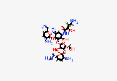 NC[C@@H]1CC[C@@H](N)[C@@H](O[C@H]2[C@H](O[C@@H]3O[C@H](CO)[C@@H](O[C@H]4O[C@@H](CN)C=C[C@H]4N)[C@H]3O)[C@@H](O)[C@H](NC(=O)[C@H](O)[C@@H](F)CN)C[C@@H]2N)O1